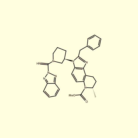 COC(=O)N1c2ccc3c(nc(Cc4ccccc4)n3[C@@H]3CCCN(C(=N)n4nc5ccccc5n4)C3)c2CC[C@@H]1C